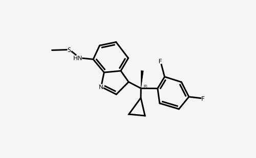 CSNc1cccc2c1N=CC2[C@](C)(c1ccc(F)cc1F)C1CC1